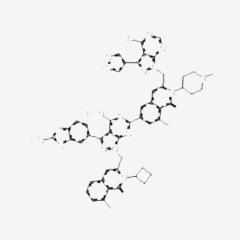 Cc1cc(-c2nc(N)c3c(-c4ccc5oc(N)nc5c4)nn(Cc4cc5cccc(C)c5c(=O)n4C4CCC4)c3n2)cc2cc(Cn3nc(-c4cn[nH]c4)c4c(N)ncnc43)n(C3CCN(C)CC3)c(=O)c12